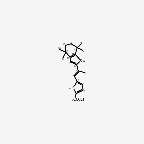 CCOC(=O)c1ccc(/C=C(\C)c2cc3c(s2)C(C)(C)CCC3(C)C)s1